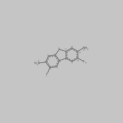 Nc1cc2c(cc1F)-c1cc(F)c(N)cc1C2